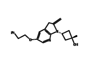 C=C1Cc2cc(OCCC(C)C)cnc2N1[C@H]1C[C@@](C)(O)C1